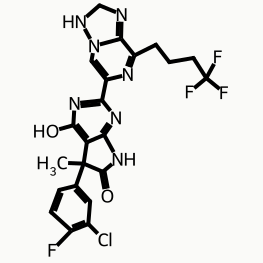 CC1(c2ccc(F)c(Cl)c2)C(=O)Nc2nc(C3=CN4NCN=C4C(CCCC(F)(F)F)=N3)nc(O)c21